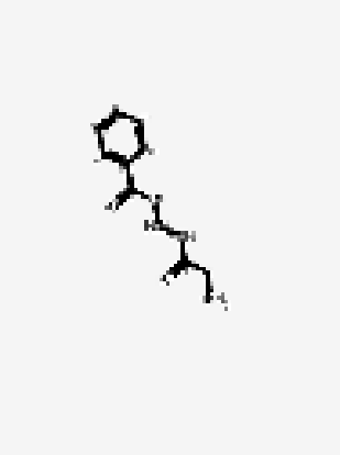 NCC(=O)NNOC(=O)c1ccccc1